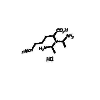 CCCCCCCCCCCCC(C(=O)O)N(C(C)N)C(C)N.Cl